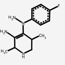 CC1CNC(C)C(N)=C1N(N)c1ccc(F)cc1